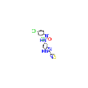 CN(C(=O)Nc1ccc2[nH]c(-c3cscn3)nc2c1)c1ccc(Cl)cc1Cl